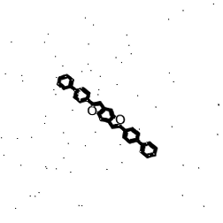 c1ccc(-c2ccc(-c3cc4cc5oc(-c6ccc(-c7ccccc7)cc6)cc5cc4o3)cc2)cc1